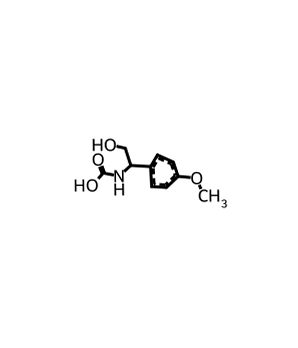 COc1ccc(C(CO)NC(=O)O)cc1